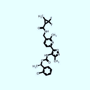 Cc1nc(-c2onc(C)c2NC(=O)O[C@H](C)c2ccccc2Cl)ccc1CNC(=O)C1C(C)C1(F)F